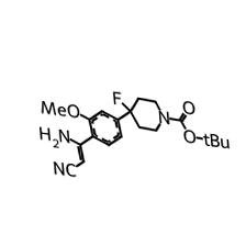 COc1cc(C2(F)CCN(C(=O)OC(C)(C)C)CC2)ccc1/C(N)=C/C#N